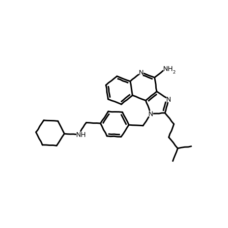 CC(C)CCc1nc2c(N)nc3ccccc3c2n1Cc1ccc(CNC2CCCCC2)cc1